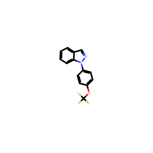 FC(F)(F)Oc1ccc(-n2ncc3ccccc32)cc1